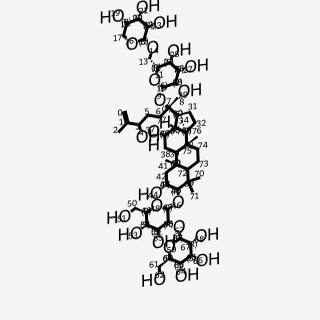 C=C(C)C(O)CC[C@](C)(O[C@@H]1O[C@H](CO[C@@H]2OC[C@@H](O)[C@H](O)[C@H]2O)[C@@H](O)[C@H](O)[C@H]1O)[C@H]1CC[C@]2(C)[C@@H]1[C@H](O)CC1[C@@]3(C)C[C@@H](O)[C@H](O[C@@H]4O[C@H](CO)[C@@H](O)[C@H](O)[C@H]4O[C@@H]4O[C@H](CO)[C@@H](O)[C@H](O)[C@H]4O)C(C)(C)C3CC[C@]12C